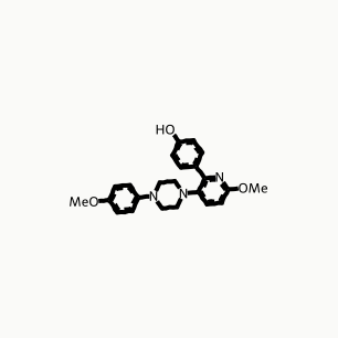 COc1ccc(N2CCN(c3ccc(OC)nc3-c3ccc(O)cc3)CC2)cc1